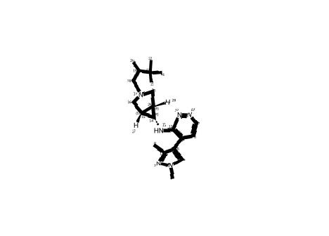 Cc1nn(C)cc1-c1ccnnc1N[C@@H]1[C@@H]2CN(CC(C)C(C)(C)C)C[C@@H]21